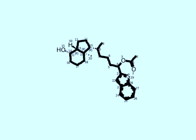 CC(=O)OC(CCCC(C)[C@H]1CC[C@H]2[C@@H](O)CCC[C@]12C)c1cc2ccccc2s1